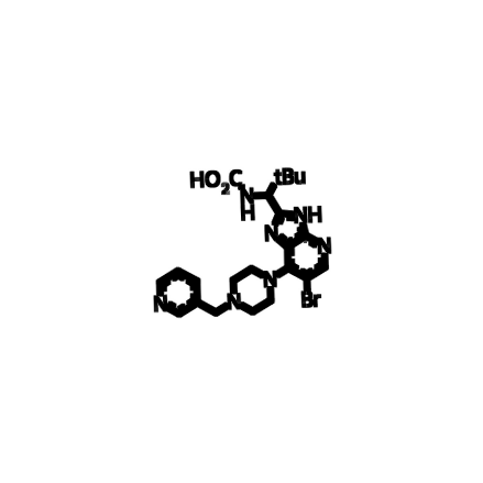 CC(C)(C)C(NC(=O)O)c1nc2c(N3CCN(Cc4cccnc4)CC3)c(Br)cnc2[nH]1